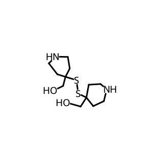 OCC1(SSC2(CO)CCNCC2)CCNCC1